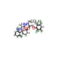 C[C@H](NC1(c2c(F)cccc2F)CCCCO1)C(=O)N[C@@H](CC(=O)O)C(=O)COc1c(F)c(F)cc(F)c1F